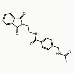 CC(=O)NCc1ccc(C(=O)NCCN2C(=O)c3ccccc3C2=O)cc1